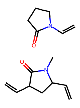 C=CC1CC(C=C)N(C)C1=O.C=CN1CCCC1=O